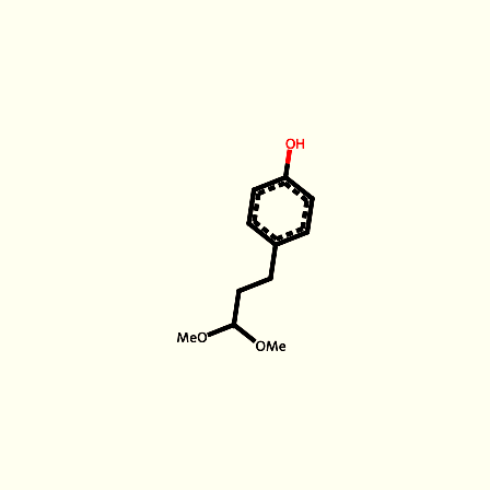 CO[C](CCc1ccc(O)cc1)OC